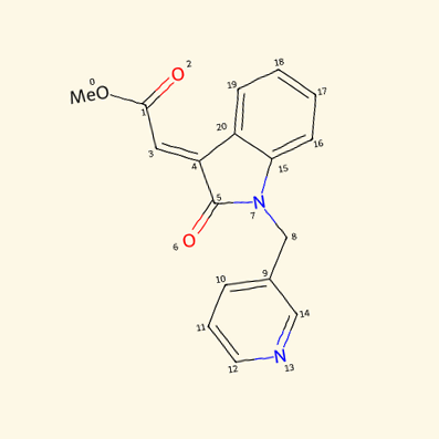 COC(=O)/C=C1/C(=O)N(Cc2cccnc2)c2ccccc21